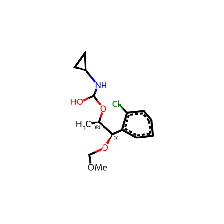 COCO[C@H](c1ccccc1Cl)[C@@H](C)OC(O)NC1CC1